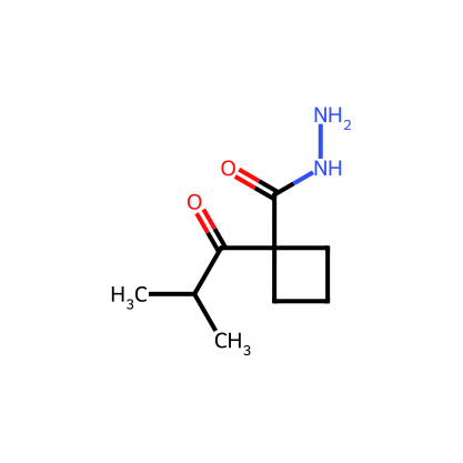 CC(C)C(=O)C1(C(=O)NN)CCC1